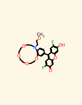 COCCN1CCOCCOCCOCCOc2cc(-c3c4cc(F)c(=O)cc-4oc4cc(O)c(F)cc34)ccc21